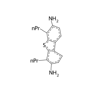 CCCc1c(N)ccc2c1sc1c(CCC)c(N)ccc12